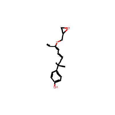 C=C/C(=C\C=C\C(C)(C)c1ccc(O)cc1)OCC1CO1